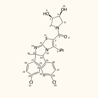 CC(C)C1=C(C(=O)N2C[C@@H](O)[C@@H](O)C2)SC2=NC(C)(c3ccc(Cl)cc3)C(c3ccc(Cl)cc3)N21